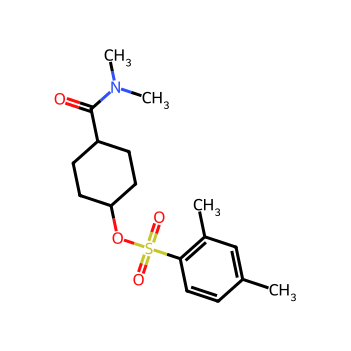 Cc1ccc(S(=O)(=O)OC2CCC(C(=O)N(C)C)CC2)c(C)c1